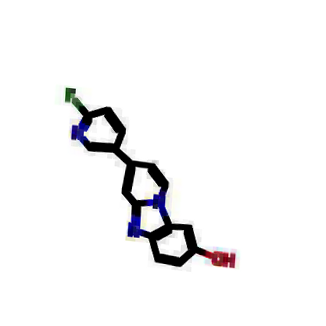 Oc1ccc2nc3cc(-c4ccc(F)nc4)ccn3c2c1